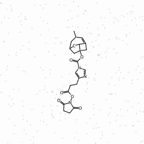 CC1C=C2CC3(OC(=O)n4cnc(CCC(=O)ON5C(=O)CCC5=O)c4)CC(C1)CC23